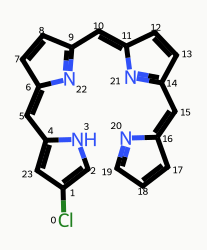 Clc1c[nH]c(C=C2C=CC(C=C3C=CC(C=C4C=CC=N4)=N3)=N2)c1